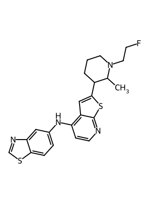 CC1C(c2cc3c(Nc4ccc5scnc5c4)ccnc3s2)CCCN1CCF